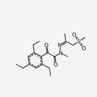 CCc1cc(CC)c(C(=O)C(=O)N(C)N=C(C)CS(C)(=O)=O)c(CC)c1